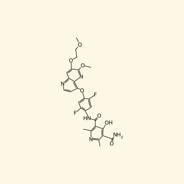 COCCOc1cc2nccc(Oc3cc(F)c(NC(=O)c4c(C)nc(C)c(C(N)=O)c4O)cc3F)c2nc1OC